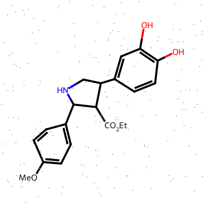 CCOC(=O)C1C(c2ccc(O)c(O)c2)CNC1c1ccc(OC)cc1